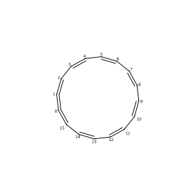 C1=C=CC=CC=CC=CC=CC=CC=CC=1